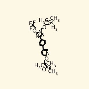 COC(=O)C(C)(C)COc1ccc(-c2ccc(-c3nc(OCC(F)(F)F)n(COCCS(C)(C)C)n3)cc2)cn1